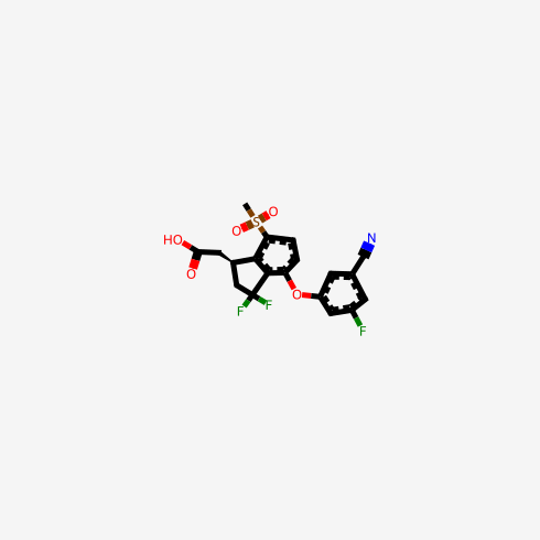 CS(=O)(=O)c1ccc(Oc2cc(F)cc(C#N)c2)c2c1[C@H](CC(=O)O)CC2(F)F